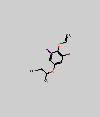 C=COc1c(I)cc(OC(CS(=O)(=O)O)C(F)(F)F)cc1I